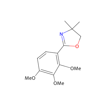 COc1ccc(C2=NC(C)(C)CO2)c(OC)c1OC